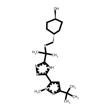 Cn1nc(C(C)(C)C)cc1-c1nnc(C(C)(C)SC[C@H]2CC[C@H](O)CC2)[nH]1